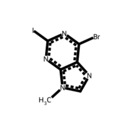 Cn1cnc2c(Br)nc(I)nc21